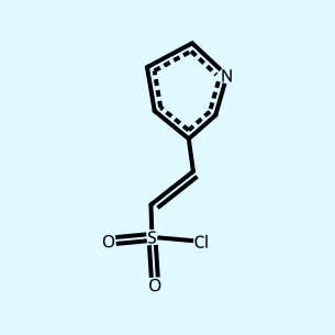 O=S(=O)(Cl)C=Cc1cccnc1